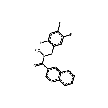 O=C(c1cnc2ccccc2c1)N(Cc1cc(F)c(F)cc1F)C(F)(F)F